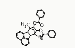 CC(C)C12CC(C)(C(OC(=O)c3ccccc3)C1OC(=O)c1ccccc1)C1c3cccc4cccc(c34)C12